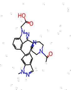 CC(=O)N1CCC(c2nn(CC(=O)O)c3cccc(-c4cc5c(cnn5C)cc4C#N)c23)CC1